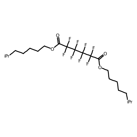 CC(C)CCCCCOC(=O)C(F)(F)C(F)(F)C(F)(F)C(F)(F)C(=O)OCCCCCC(C)C